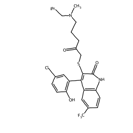 CC(C)CN(C)CCCC(=O)CSc1c(-c2cc(Cl)ccc2O)c2cc(C(F)(F)F)ccc2[nH]c1=O